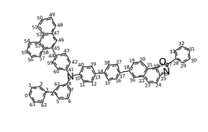 c1ccc(-c2cccc(N(c3ccc(-c4ccc(-c5ccc6c(ccc7nc(-c8ccccc8)oc76)c5)cc4)cc3)c3ccc(-c4cc5ccccc5c5ccccc45)cc3)c2)cc1